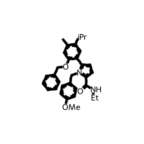 CCNC(=O)c1ccc(-c2cc(C(C)C)c(C)cc2OCc2ccccc2)n1Cc1ccc(OC)cc1